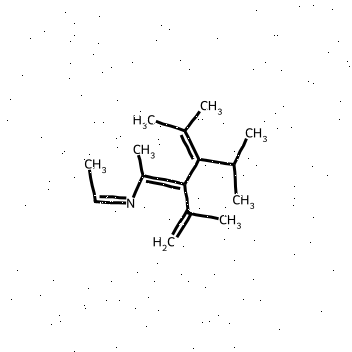 C=C(C)/C(C(=C(C)C)C(C)C)=C(C)\N=C/C